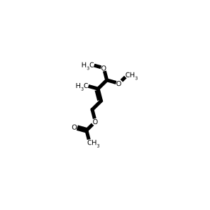 COC(OC)C(C)=CCOC(C)=O